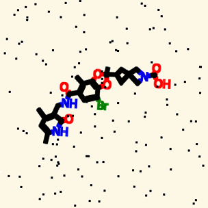 Cc1cc(C)c(CNC(=O)c2cc(Br)c3c(c2C)OC(C)(C2CC4(C2)CN(C(=O)O)C4)O3)c(=O)[nH]1